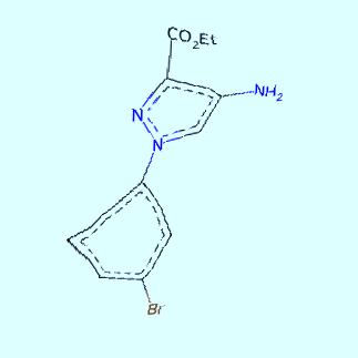 CCOC(=O)c1nn(-c2cccc(Br)c2)cc1N